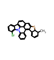 CC1C=CC=C2c3c(cc4ccc5c6cccc(Br)c6n6c7ccccc7c3c4c56)SC21